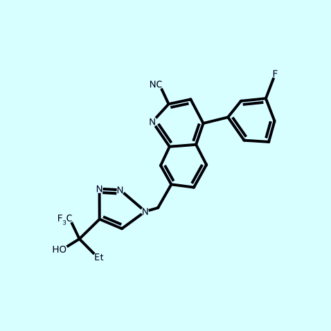 CCC(O)(c1cn(Cc2ccc3c(-c4cccc(F)c4)cc(C#N)nc3c2)nn1)C(F)(F)F